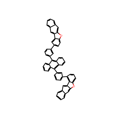 c1cc(-c2ccc3oc4cc5ccccc5cc4c3c2)cc(-c2c3ccccc3c(-c3cccc(-c4cccc5oc6cc7ccccc7cc6c45)c3)c3ccccc23)c1